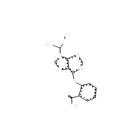 COC(C)n1cnc2c(Nc3ccccc3C(=O)O)ncnc21